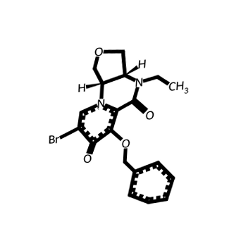 CCN1C(=O)c2c(OCc3ccccc3)c(=O)c(Br)cn2[C@@H]2COC[C@@H]21